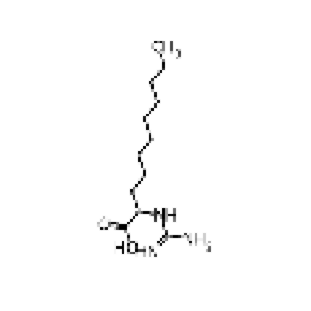 CCCCCCCCCC(NC(=N)N)C(=O)O